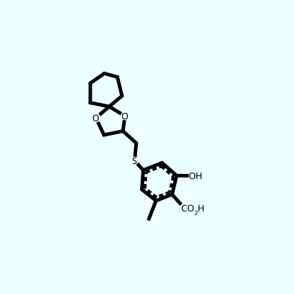 Cc1cc(SCC2COC3(CCCCC3)O2)cc(O)c1C(=O)O